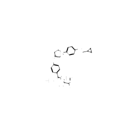 C[C@H](NC(=O)C(F)F)c1ccc(O[C@@H]2CCN(c3ccc(OCC4CC4)cc3)C2)cc1